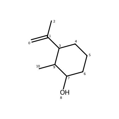 C=C(C)C1CCCC(O)C1C